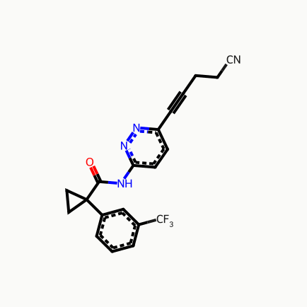 N#CCCC#Cc1ccc(NC(=O)C2(c3cccc(C(F)(F)F)c3)CC2)nn1